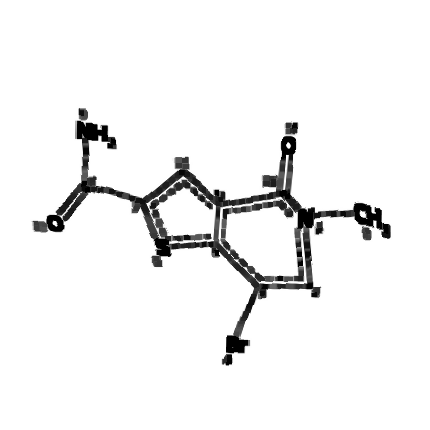 Cn1cc(Br)c2sc(C(N)=O)cc2c1=O